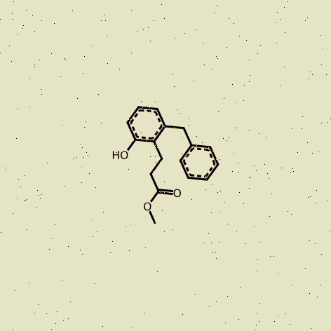 COC(=O)CCc1c(O)cccc1Cc1ccccc1